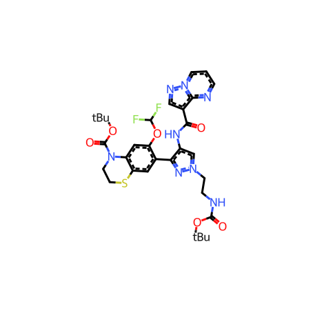 CC(C)(C)OC(=O)NCCn1cc(NC(=O)c2cnn3cccnc23)c(-c2cc3c(cc2OC(F)F)N(C(=O)OC(C)(C)C)CCS3)n1